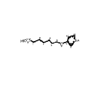 O=S(=O)(O)CCCCCCOc1[c]s[c]c1